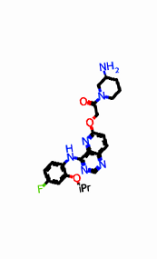 CC(C)Oc1cc(F)ccc1Nc1ncnc2ccc(OCC(=O)N3CCC[C@H](N)C3)nc12